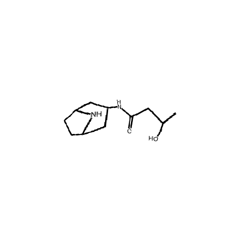 CC(O)CC(=O)NC1CC2CCC(C1)N2